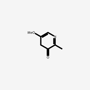 COC1=CN=C(C)C(=O)C1